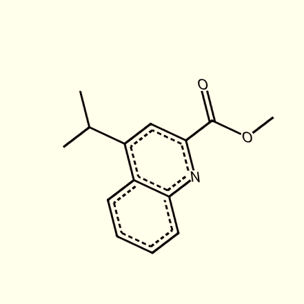 COC(=O)c1cc(C(C)C)c2ccccc2n1